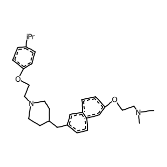 CC(C)c1ccc(OCCN2CCC(Cc3ccc4cc(OCCN(C)C)ccc4c3)CC2)cc1